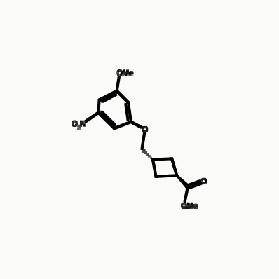 COc1cc(OC[C@H]2C[C@H](C(=O)OC)C2)cc([N+](=O)[O-])c1